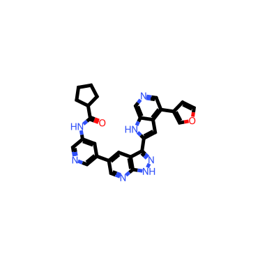 O=C(Nc1cncc(-c2cnc3[nH]nc(-c4cc5c(-c6ccoc6)cncc5[nH]4)c3c2)c1)C1CCCC1